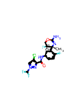 C[C@]1(F)COC(N)=N[C@]1(C)c1cc(NC(=O)c2nn(C(F)F)cc2Cl)ccc1F